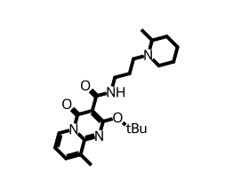 Cc1cccn2c(=O)c(C(=O)NCCCN3CCCCC3C)c(OC(C)(C)C)nc12